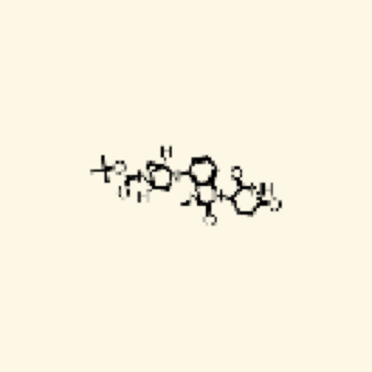 Cn1c(=O)n(C2CCC(=O)NC2=O)c2cccc(N3C[C@@H]4C[C@H]3CN4C(=O)OC(C)(C)C)c21